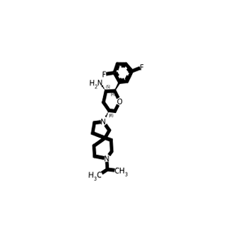 CC(C)N1CCC2(CC1)CCN([C@H]1CO[C@H](c3cc(F)ccc3F)[C@@H](N)C1)C2